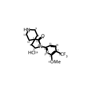 COc1nc(N2CCC3(CCNCC3)C2=O)ccc1C(F)(F)F.Cl